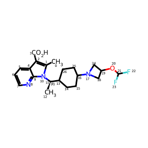 Cc1c(C(=O)O)c2cccnc2n1[C@H](C)C1CCC(N2CC(OC(F)F)C2)CC1